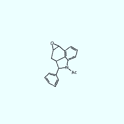 CC(=O)N1c2cccc3c2C(CC2OC32)C1c1ccccc1